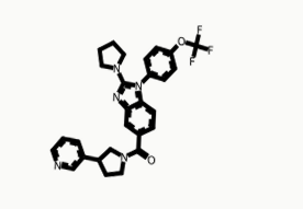 O=C(c1ccc2c(c1)nc(N1CCCC1)n2-c1ccc(OC(F)(F)F)cc1)N1CCC(c2cccnc2)C1